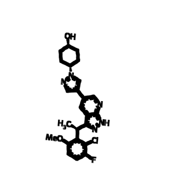 COc1ccc(F)c(Cl)c1[C@@H](C)c1n[nH]c2ncc(-c3cnn([C@H]4CC[C@H](O)CC4)c3)cc12